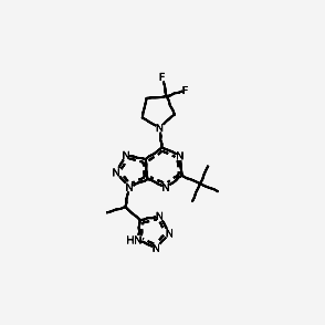 CC(c1nnn[nH]1)n1nnc2c(N3CCC(F)(F)C3)nc(C(C)(C)C)nc21